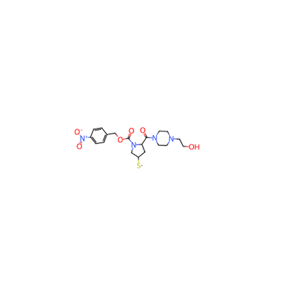 O=C(C1CC([S])CN1C(=O)OCc1ccc([N+](=O)[O-])cc1)N1CCN(CCO)CC1